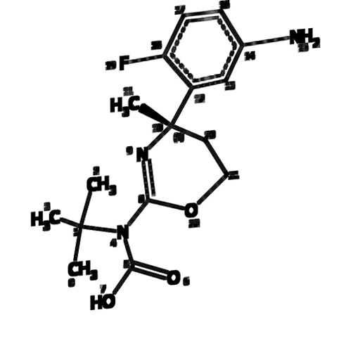 CC(C)(C)N(C(=O)O)C1=N[C@](C)(c2cc(N)ccc2F)CCO1